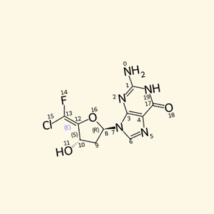 Nc1nc2c(ncn2[C@H]2C[C@H](O)/C(=C(/F)Cl)O2)c(=O)[nH]1